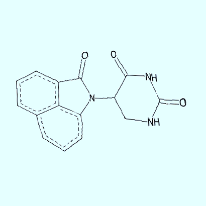 O=C1NCC(N2C(=O)c3cccc4cccc2c34)C(=O)N1